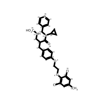 Cc1cc(Cl)c(OCCOc2ccc(CC(CNC(=O)O)C(=O)N(Cc3ccncc3)C3CC3)cc2)c(Cl)c1